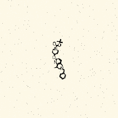 CC1CN(Cc2ccccc2)Cc2ccc(OC3CCN(C(=O)OC(C)(C)C)CC3)nc21